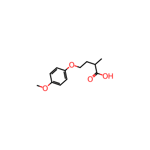 COc1ccc(OCCC(C)C(=O)O)cc1